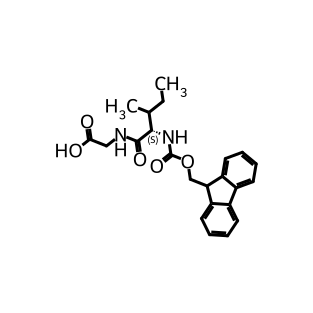 CCC(C)[C@H](NC(=O)OCC1c2ccccc2-c2ccccc21)C(=O)NCC(=O)O